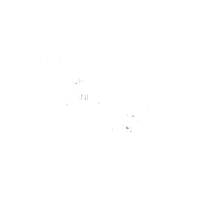 O=C(CCCCNC(=O)[C@@H](O)Cc1ccccc1)c1nc2ccccc2o1